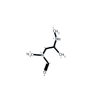 CNC(C)CN(C)C=O